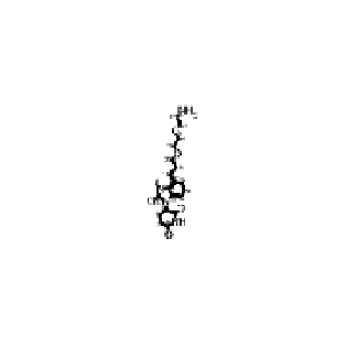 Cn1c(=O)n(C2CCC(=O)NC2=O)c2cccc(CCCOCCOCCN)c21